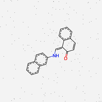 O=C1C=Cc2ccccc2C1=CNc1ccc2ccccc2c1